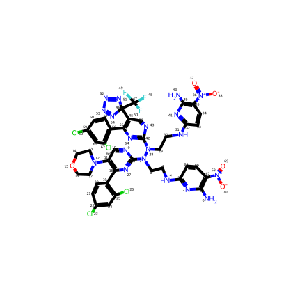 Nc1nc(NCCN(c2ncc(N3CCOCC3)c(-c3ccc(Cl)cc3Cl)n2)N(CCNc2ccc([N+](=O)[O-])c(N)n2)c2ncc(C3(C(F)(F)F)N=NN=N3)c(-c3ccc(Cl)cc3Cl)n2)ccc1[N+](=O)[O-]